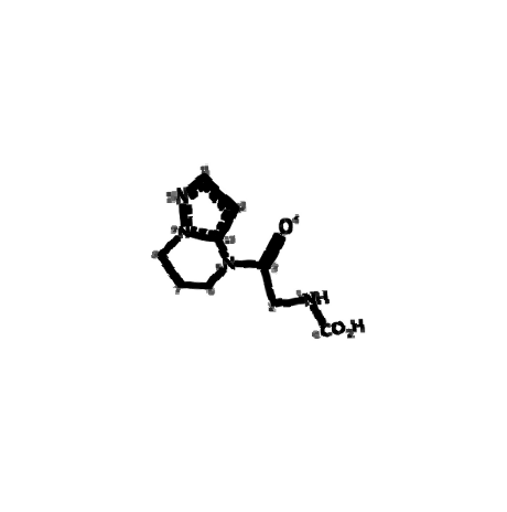 O=C(O)NCC(=O)N1CCCn2nccc21